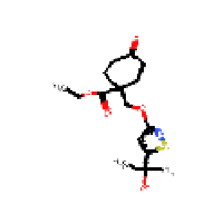 CCOC(=O)C1(COc2cc(C(C)(C)O)sn2)CCC(=O)CC1